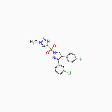 Cn1cc(S(=O)(=O)N2CC(c3ccc(F)cc3)C(c3cccc(Cl)c3)=N2)nn1